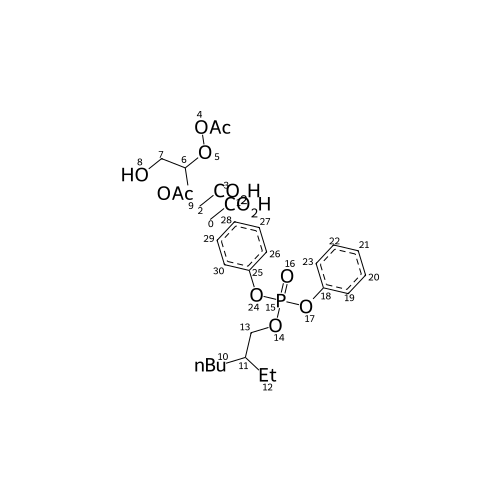 CC(=O)O.CC(=O)O.CC(=O)OOC(CO)OC(C)=O.CCCCC(CC)COP(=O)(Oc1ccccc1)Oc1ccccc1